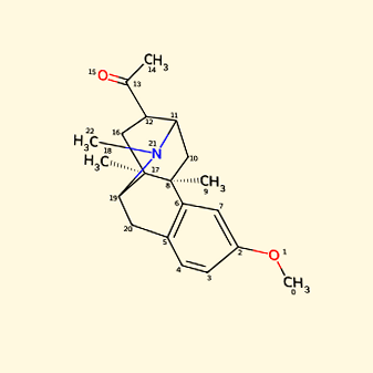 COc1ccc2c(c1)[C@]1(C)CC3C(C(C)=O)C[C@]1(C)C(C2)N3C